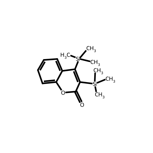 C[Si](C)(C)c1c([Si](C)(C)C)c2ccccc2oc1=O